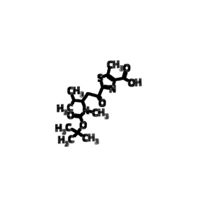 Cc1sc(C(=O)CC(C(C)C)N(C)C(=O)OC(C)(C)C)nc1C(=O)O